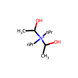 CCC[N+](CCC)(C(C)O)C(C)O